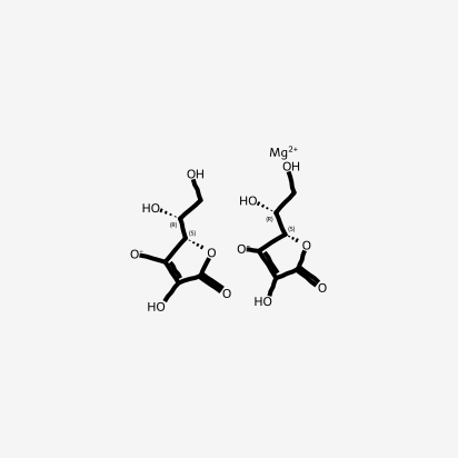 O=C1O[C@@H]([C@H](O)CO)C([O-])=C1O.O=C1O[C@@H]([C@H](O)CO)C([O-])=C1O.[Mg+2]